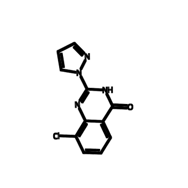 O=c1[nH]c(-n2cccn2)nc2c(Cl)cccc12